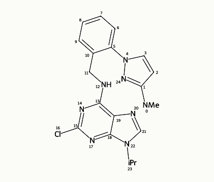 CNc1ccn(-c2ccccc2CNc2nc(Cl)nc3c2ncn3C(C)C)n1